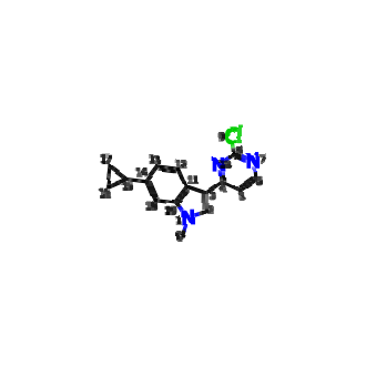 Cn1cc(-c2ccnc(Cl)n2)c2ccc(C3CC3)cc21